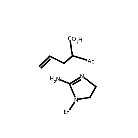 C=CCC(C(C)=O)C(=O)O.CCN1CCN=C1N